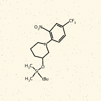 CC(C)(C)[Si](C)(C)OC1CCCN(c2ccc(C(F)(F)F)cc2[N+](=O)[O-])C1